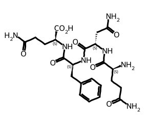 NC(=O)CC[C@H](NC(=O)[C@H](Cc1ccccc1)NC(=O)[C@H](CC(N)=O)NC(=O)[C@@H](N)CCC(N)=O)C(=O)O